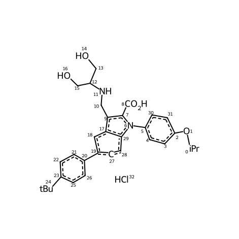 CC(C)Oc1ccc(-n2c(C(=O)O)c(CNC(CO)CO)c3cc(-c4ccc(C(C)(C)C)cc4)ccc32)cc1.Cl